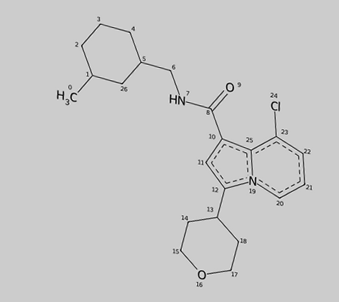 CC1CCCC(CNC(=O)c2cc(C3CCOCC3)n3cccc(Cl)c23)C1